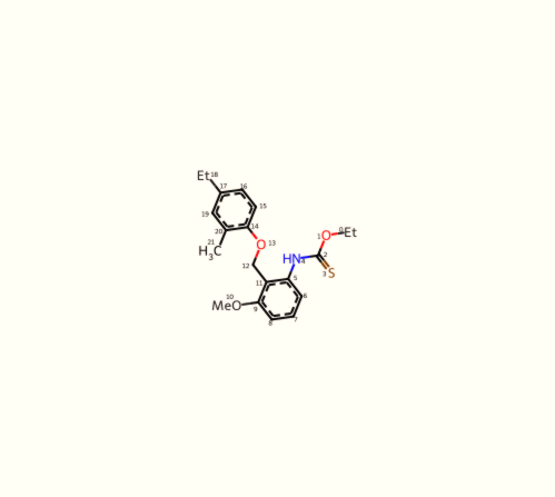 CCOC(=S)Nc1cccc(OC)c1COc1ccc(CC)cc1C